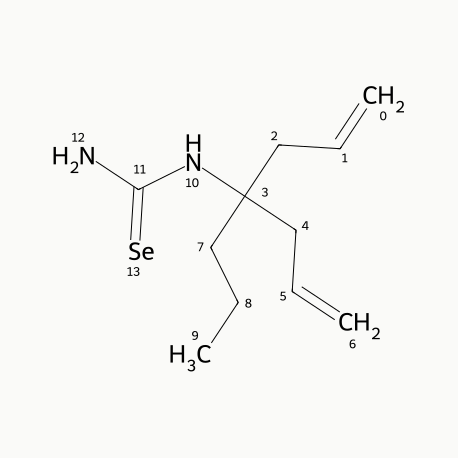 C=CCC(CC=C)(CCC)NC(N)=[Se]